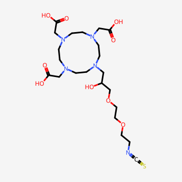 O=C(O)CN1CCN(CC(=O)O)CCN(CC(O)COCCOCCN=C=S)CCN(CC(=O)O)CC1